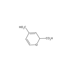 O=C(O)C1=CC(C(=O)O)OC=C1